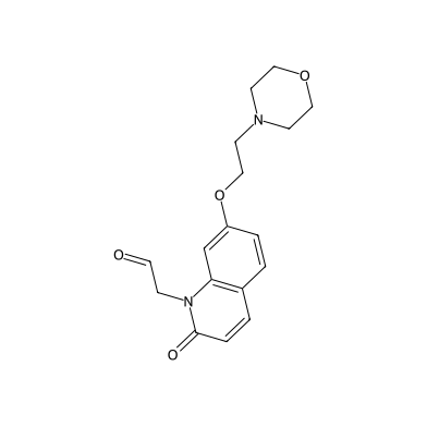 O=CCn1c(=O)ccc2ccc(OCCN3CCOCC3)cc21